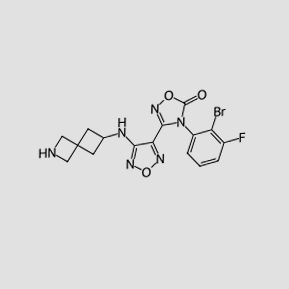 O=c1onc(-c2nonc2NC2CC3(CNC3)C2)n1-c1cccc(F)c1Br